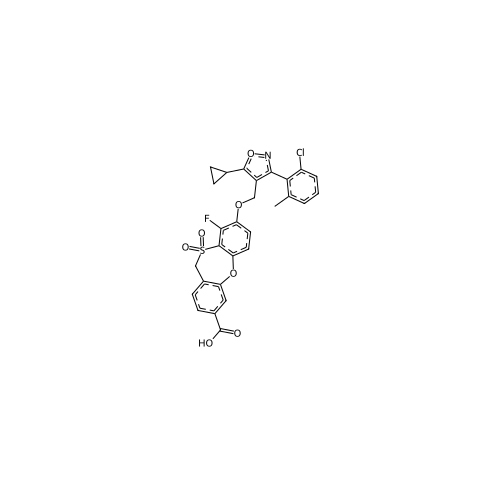 Cc1cccc(Cl)c1-c1noc(C2CC2)c1COc1ccc2c(c1F)S(=O)(=O)Cc1ccc(C(=O)O)cc1O2